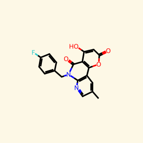 Cc1cnc2c(c1)c1oc(=O)cc(O)c1c(=O)n2Cc1ccc(F)cc1